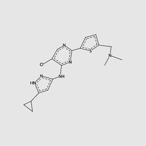 CN(C)Cc1ccc(-c2ncc(Cl)c(Nc3cc(C4CC4)[nH]n3)n2)s1